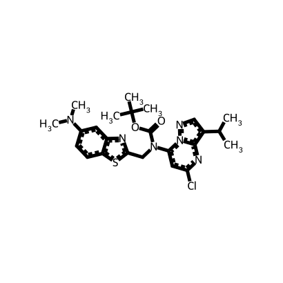 CC(C)c1cnn2c(N(Cc3nc4cc(N(C)C)ccc4s3)C(=O)OC(C)(C)C)cc(Cl)nc12